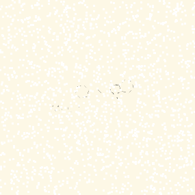 COC(=O)c1cccc(/C=C/c2nc3cc(F)ccc3s2)c1